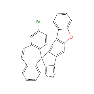 Brc1ccc2c(c1)C=Cc1ccccc1C21c2ccccc2-c2cc3oc4ccccc4c3cc21